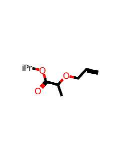 C=CCOC(C)C(=O)OC(C)C